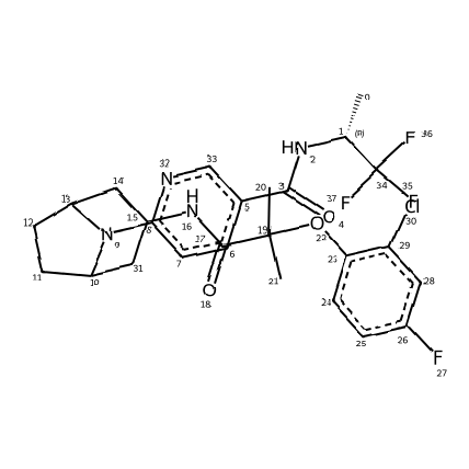 C[C@@H](NC(=O)c1ccc(N2C3CCC2CC(NC(=O)C(C)(C)Oc2ccc(F)cc2Cl)C3)nc1)C(F)(F)F